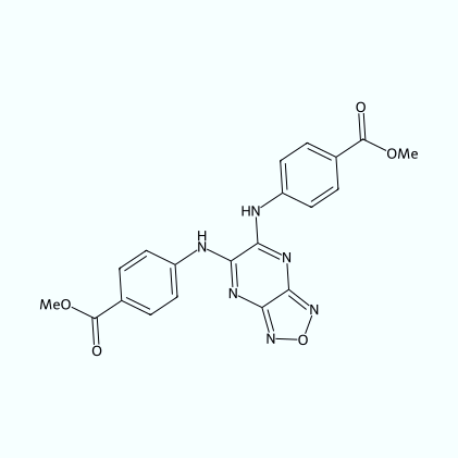 COC(=O)c1ccc(Nc2nc3nonc3nc2Nc2ccc(C(=O)OC)cc2)cc1